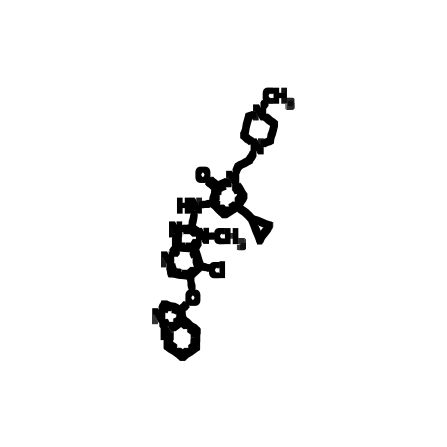 CN1CCN(CCn2cc(C3CC3)cc(Nc3nc4ncc(Oc5cnn6ccccc56)c(Cl)c4n3C)c2=O)CC1